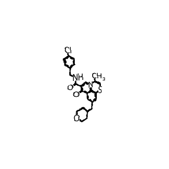 CC1=CSc2cc(CC3CCOCC3)cc3c(=O)c(C(=O)NCc4ccc(Cl)cc4)cn1c23